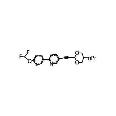 CCCC1COC(C#Cc2ccc(-c3ccc(OC(F)F)cc3)nc2)OC1